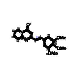 COc1cc(/C=C/c2cc(=O)n3ccccc3n2)cc(OC)c1OC